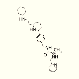 C[C@H](NCc1ccccn1)C(=O)NCc1ccc(C2CCCC(CCNC3CCCCC3)N2)cc1